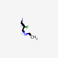 C=C/N=C\C(F)=C\I